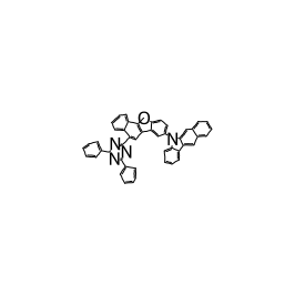 c1ccc(-c2nc(-c3ccccc3)nc(-c3cc4c5cc(-n6c7ccccc7c7cc8ccccc8cc76)ccc5oc4c4ccccc34)n2)cc1